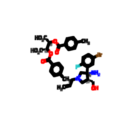 C=CCN1C[C@@H](CO)[C@](N)(c2cc(Br)ccc2F)C1.Cc1ccc(C(=O)O[C@H](C(=O)O)[C@H](OC(=O)c2ccc(C)cc2)C(=O)O)cc1